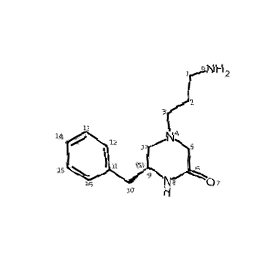 NCCCN1CC(=O)N[C@@H](Cc2ccccc2)C1